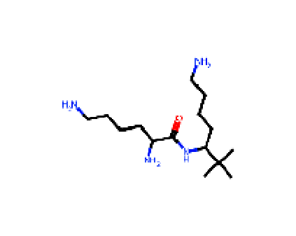 CC(C)(C)C(CCCCN)NC(=O)C(N)CCCCN